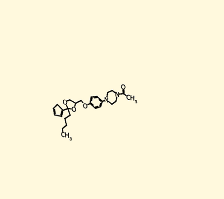 CCCCCC1(C2=CC=CC2)OCC(COc2ccc(N3CCN(C(C)=O)CC3)cc2)O1